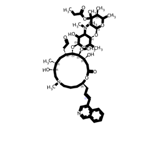 CCC(=O)OC1(C)C[C@H](O[C@@H]2C(C)O[C@@H](O[C@H]3[C@@H](CC=O)C[C@@H](C)[C@@H](O)CN(C)CCC[C@H](C/C=C/c4cncc5ccccc45)OC(=O)C[C@@H](O)[C@@H]3OC)C(O)C2N(C)C)OC(C)[C@@H]1C